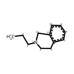 CC[CH]N1CCc2ccccc2C1